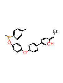 C=C(/C=C\C(O)=C/CC)c1ccc(Oc2ccc(OP(C)c3ccc(C)cc3)cc2)cc1